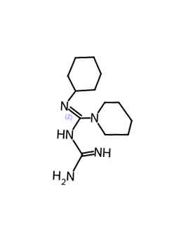 N=C(N)N/C(=N/C1CCCCC1)N1CCCCC1